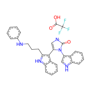 O=C(O)C(F)(F)F.O=C1[N]C=C(c2c(CCCNc3ccccc3)[nH]c3ccccc23)N1c1c[nH]c2ccccc12